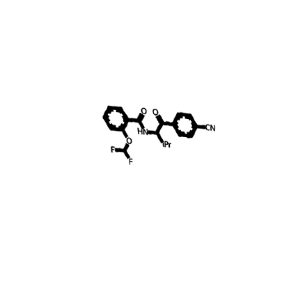 CC(C)C(NC(=O)c1ccccc1OC(F)F)C(=O)c1ccc(C#N)cc1